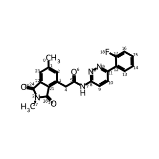 Cc1cc(CC(=O)Nc2ccc(-c3ccccc3F)nn2)c2c(c1)C(=O)N(C)C2=O